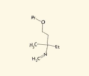 C=NC(C)(CC)CCOC(C)C